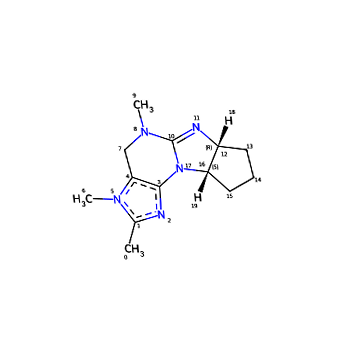 Cc1nc2c(n1C)CN(C)C1=N[C@@H]3CCC[C@@H]3N12